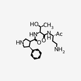 CC(=O)[C@H](CCN)NC(=O)[C@@H](NC(=O)C1CNC[C@@H]1c1ccccc1)[C@H](C)O